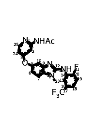 CC(=O)Nc1cc(Oc2ccc3c(c2)nc(Nc2cc(C(F)(F)F)ccc2F)n3C)ccn1